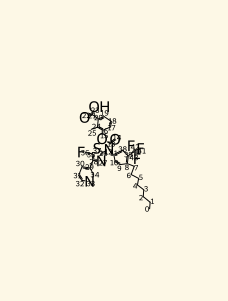 CCCCCCCCc1ccc(N(C(=O)Oc2cccc(C(=O)O)c2C)c2nc(-c3cccnc3)c(F)s2)cc1C(F)(F)F